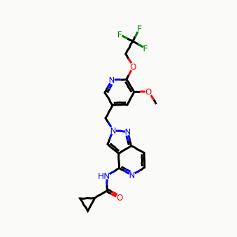 COc1cc(Cn2cc3c(NC(=O)C4CC4)nccc3n2)cnc1OCC(F)(F)F